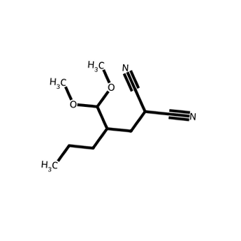 CCC[C](CC(C#N)C#N)C(OC)OC